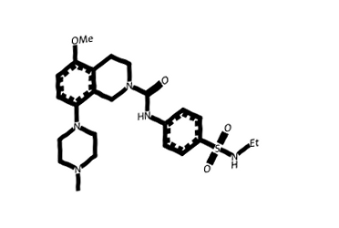 CCNS(=O)(=O)c1ccc(NC(=O)N2CCc3c(OC)ccc(N4CCN(C)CC4)c3C2)cc1